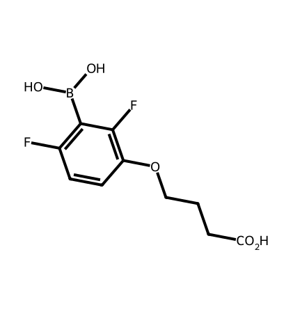 O=C(O)CCCOc1ccc(F)c(B(O)O)c1F